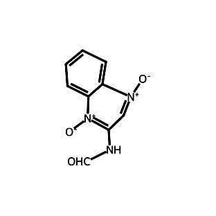 O=CNc1c[n+]([O-])c2ccccc2[n+]1[O-]